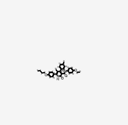 CCCCOc1ccc(-c2[nH]c(=O)c(C(=O)Nc3ccc(OCC)cc3)c(-c3ccc(C)cc3)c2C)cc1